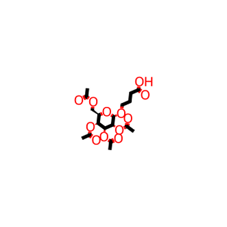 CC(=O)OC[C@H]1O[C@@H](OCCCC(=O)O)[C@@H](OC(C)=O)[C@@H](OC(C)=O)[C@@H]1OC(C)=O